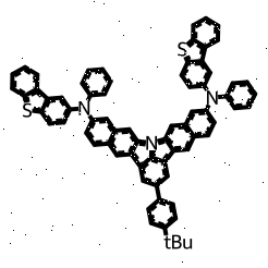 CC(C)(C)c1ccc(-c2cc3c4cc5ccc(N(c6ccccc6)c6ccc7sc8ccccc8c7c6)cc5cc4n4c5cc6cc(N(c7ccccc7)c7ccc8sc9ccccc9c8c7)ccc6cc5c(c2)c34)cc1